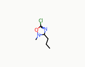 CCCC1N=C(Cl)ON1C